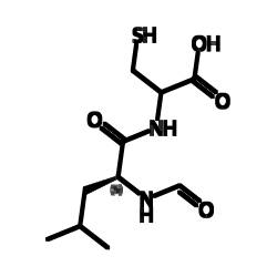 CC(C)C[C@H](NC=O)C(=O)NC(CS)C(=O)O